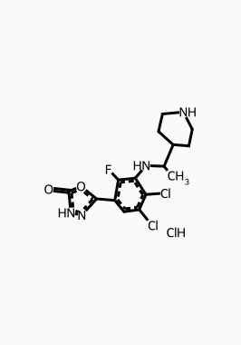 CC(Nc1c(F)c(-c2n[nH]c(=O)o2)cc(Cl)c1Cl)C1CCNCC1.Cl